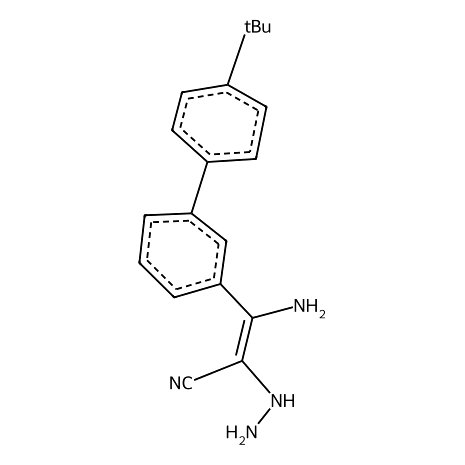 CC(C)(C)c1ccc(-c2cccc(/C(N)=C(\C#N)NN)c2)cc1